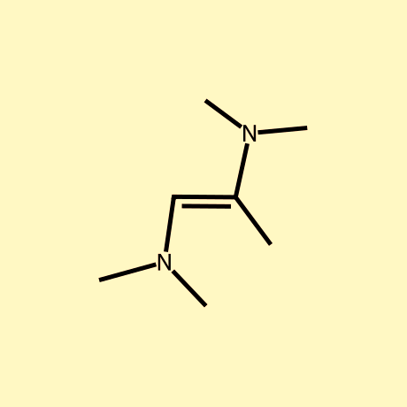 C/C(=C\N(C)C)N(C)C